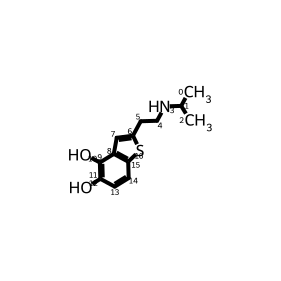 CC(C)NCCc1cc2c(O)c(O)ccc2s1